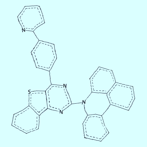 c1ccc(-c2ccc(-c3nc(N4c5ccccc5-c5cccc6cccc4c56)nc4c3sc3ccccc34)cc2)nc1